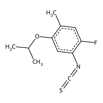 Cc1cc(F)c(N=C=S)cc1OC(C)C